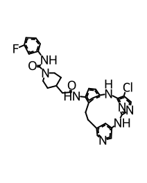 O=C(CC1CCN(C(=O)Nc2cccc(F)c2)CC1)Nc1ccc2cc1CCc1cncc(c1)Nc1ncc(Cl)c(n1)N2